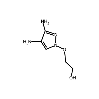 Nc1cn(OCCO)nc1N